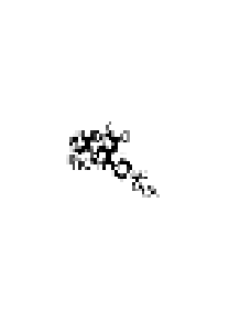 CC(C)c1ncnc(C(C)C)c1N1c2c(cc(Cl)c(Cl)[n+]2[O-])C(N2CCN(C(=O)OC(C)(C)C)C[C@@H]2C)=NC1O